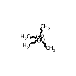 C=CCCO[Si](OCCC=C)(OCCC=C)OCCC=C